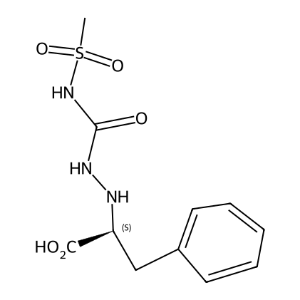 CS(=O)(=O)NC(=O)NN[C@@H](Cc1ccccc1)C(=O)O